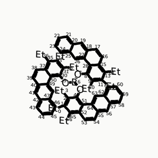 CCc1c(CC)c(OB(Oc2c(CC)c(CC)c(CC)c3ccc4cc5ccccc5cc4c23)Oc2c(CC)c(CC)c(CC)c3ccc4cc5ccccc5cc4c23)c2c(ccc3cc4ccccc4cc32)c1CC